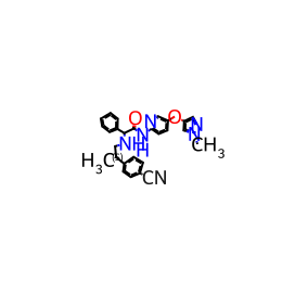 C[C@H](CNC(C(=O)Nc1ccc(Oc2cnn(C)c2)cn1)c1ccccc1)c1ccc(C#N)cc1